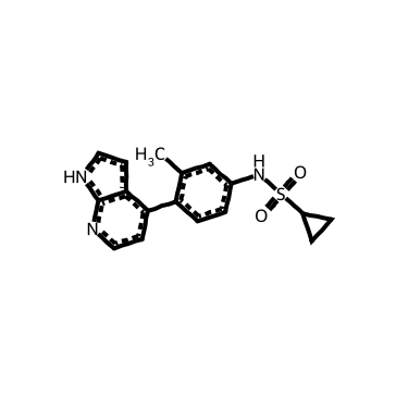 Cc1cc(NS(=O)(=O)C2CC2)ccc1-c1ccnc2[nH]ccc12